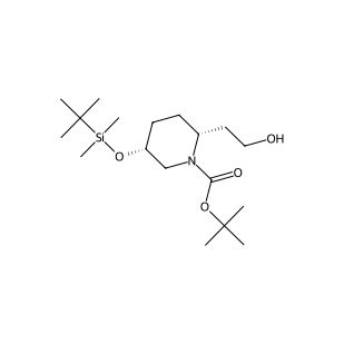 CC(C)(C)OC(=O)N1C[C@H](O[Si](C)(C)C(C)(C)C)CC[C@@H]1CCO